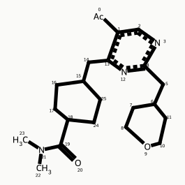 CC(=O)c1cnc(CC2CCOCC2)nc1CC1CCC(C(=O)N(C)C)CC1